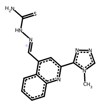 Cn1cnnc1-c1cc(/C=N/NC(N)=S)c2ccccc2n1